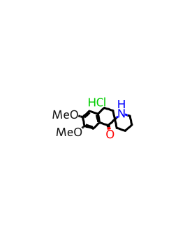 COc1cc2c(cc1OC)C(=O)C1(CCCCN1)CC2.Cl